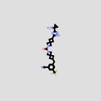 N#Cc1cc(CC2CC3(C2)CN(C(=O)N2CC4(CC(c5nc(C6(N)CC6)n[nH]5)C4)C2)C3)cc(C(F)(F)F)c1